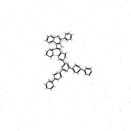 c1ccc(-c2ccc(-c3cc(-c4ccc(-c5sc6c(-c7ccccc7)nc7ccccc7c6c5-c5ccccc5)cc4)nc(-c4ccc(-c5ccccc5)cc4)n3)cc2)cc1